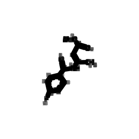 COC(=O)C=C(C)NC(=O)c1ccc(F)cc1